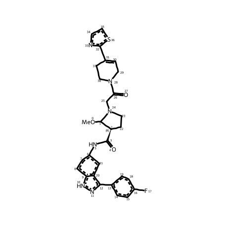 COC1[C@H](C(=O)Nc2ccc3[nH]nc(-c4ccc(F)cc4)c3c2)CCN1CC(=O)N1CC=C(c2nccs2)CC1